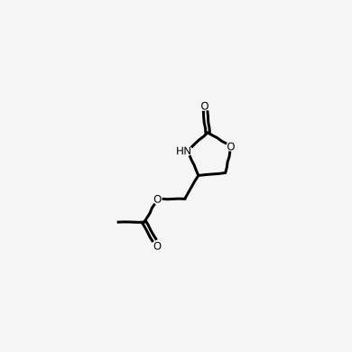 CC(=O)OCC1COC(=O)N1